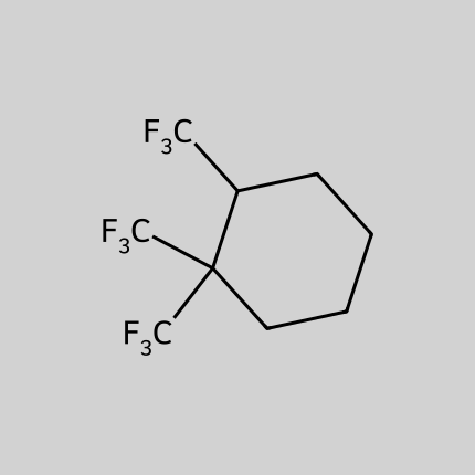 FC(F)(F)C1CCCCC1(C(F)(F)F)C(F)(F)F